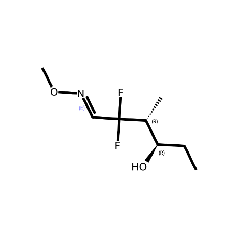 CC[C@@H](O)[C@@H](C)C(F)(F)/C=N/OC